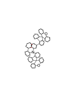 c1ccc(-c2ccccc2N(c2cccc(-c3cccc4c3-c3ccccc3C43c4ccccc4Oc4ccccc43)c2)c2cccc3c2-c2ccccc2C32c3ccccc3Oc3ccccc32)cc1